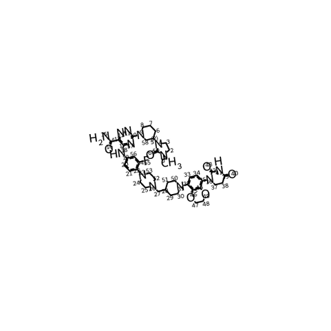 CN1CCN([C@@H]2CCCN(c3nnc(C(N)=O)c(Nc4ccc(N5CCN(CC6CCN(c7ccc(N8CCC(=O)NC8=O)c8c7OCCO8)CC6)CC5)c(F)c4)n3)C2)C1=O